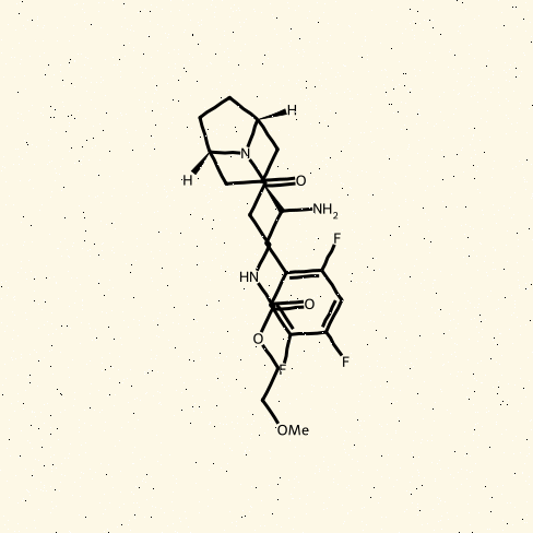 COCCOC(=O)NCCC(=O)N1[C@@H]2CC[C@H]1C[C@H](C(N)Cc1cc(F)c(F)cc1F)C2